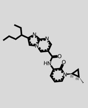 CCCC(CC)c1cn2cc(C(=O)Nc3cccn([C@H]4C[C@@H]4C)c3=O)cnc2n1